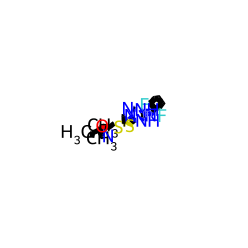 CC(C)(C)c1cnc(CSc2cnc(N/C(=N/c3c(F)cccc3F)NC#N)s2)o1